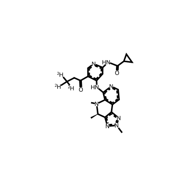 [2H]C([2H])([2H])CC(=O)c1cnc(NC(=O)C2CC2)cc1Nc1nccc2c1N(C)[C@H](C)c1nn(C)nc1-2